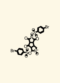 O=C1C2C(=O)N(OS(=O)(=O)c3ccc(Br)cc3)C(=O)C2C2C[N+](=O)C(OS(=O)(=O)c3ccc(Br)cc3)C12